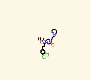 CC1CN(CCCN2CCCCC2)C(=O)CN1C(=O)C=Cc1ccc(Cl)c(Cl)c1